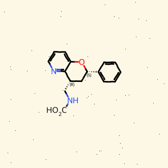 O=C(O)NC[C@H]1C[C@@H](c2ccccc2)Oc2cccnc21